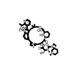 CCn1c(-c2cccnc2[C@H](C)OC)c2c3cc(ccc31)-c1csc(n1)C[C@H](NC(=O)[C@H](C(C)C)N(C)C(=O)N1CC[C@@]13CCCN(C)C3)C(=O)N1CCC[C@](C=O)(COCC(C)(C)C2)N1